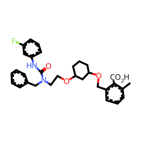 Cc1cccc(COC2CCCC(OCCN(Cc3ccccc3)C(=O)Nc3cccc(F)c3)C2)c1C(=O)O